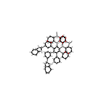 CN1c2ccccc2N(c2c(-c3ccccc3)c(-c3ccccc3)c(-c3cccc(-c4nc5ccccc5o4)c3)c(-c3cccc(-c4nc5ccccc5o4)c3)c2N2c3ccccc3N(C)c3ccccc32)c2ccccc21